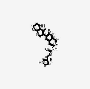 Cc1c(-c2cc3cc(NC(=O)OC[C@@]4(F)CCNC4)ncc3cc2F)cnc2c1NCCO2